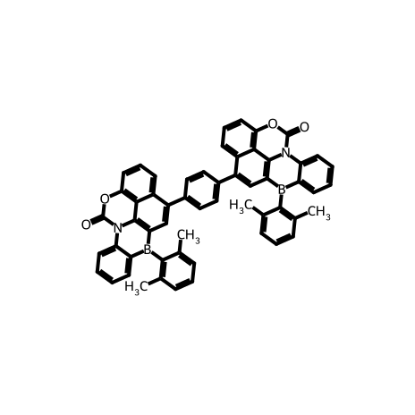 Cc1cccc(C)c1B1c2ccccc2N2C(=O)Oc3cccc4c(-c5ccc(-c6cc7c8c9c(cccc69)OC(=O)N8c6ccccc6B7c6c(C)cccc6C)cc5)cc1c2c34